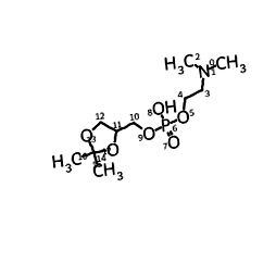 CN(C)CCOP(=O)(O)OCC1COC(C)(C)O1